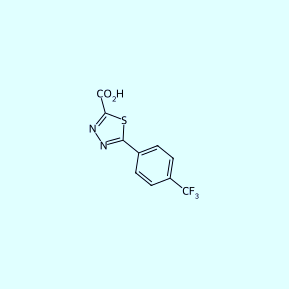 O=C(O)c1nnc(-c2ccc(C(F)(F)F)cc2)s1